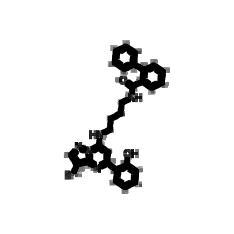 O=C(NCCCCNc1cc(-c2ccccc2O)nc2c(Br)cnn12)c1ccccc1-c1ccccc1